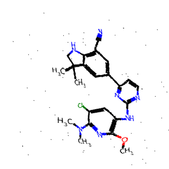 COc1nc(N(C)C)c(Cl)cc1Nc1nccc(-c2cc(C#N)c3c(c2)C(C)(C)CN3)n1